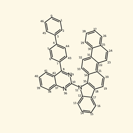 c1ccc(-c2ccc(-c3nc(-n4c5ccccc5c5ccc6c7ccc8ccccc8c7ccc6c54)nc4ccccc34)cc2)cc1